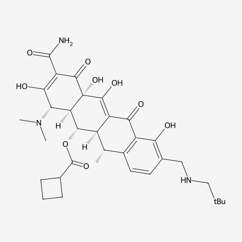 C[C@H]1c2ccc(CNCC(C)(C)C)c(O)c2C(=O)C2=C(O)[C@]3(O)C(=O)C(C(N)=O)=C(O)[C@@H](N(C)C)[C@@H]3[C@@H](OC(=O)C3CCC3)[C@@H]21